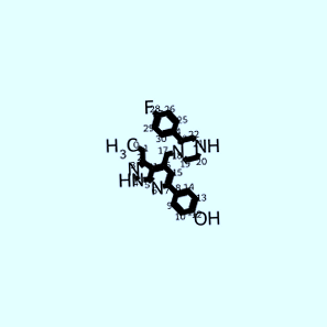 CCc1n[nH]c2nc(-c3ccc(O)cc3)cc(CN3CCNCC3c3ccc(F)cc3)c12